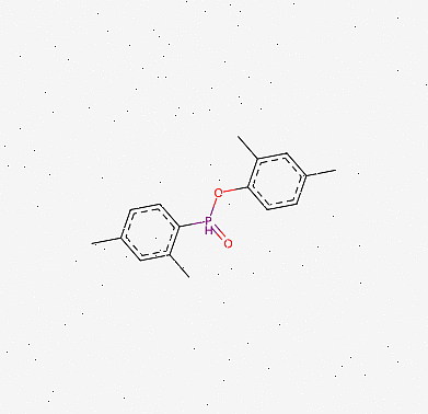 Cc1ccc(O[PH](=O)c2ccc(C)cc2C)c(C)c1